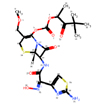 COCC1=C(OC(=O)OC(C)C(=O)C(C)(C)C)N2C(=O)C(NC(=O)/C(=N\O)c3csc(N)n3)[C@@H]2SC1